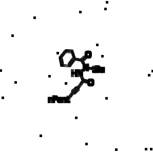 CCCCCC#CC(=O)NN(C(=O)c1ccccc1)C(C)(C)C